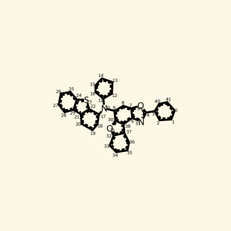 c1ccc(-c2nc3c(cc(N(c4ccccc4)c4cccc5c4sc4ccccc45)c4oc5ccccc5c43)o2)cc1